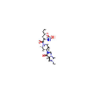 CCCC[C@@H](NC(=O)O)C(=O)N1CCC(N2CN3CN(C)C=C3C2=O)CC1